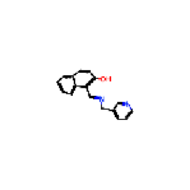 Oc1ccc2ccccc2c1/C=N/Cc1cccnc1